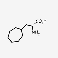 N[C@H](CC1CCCCCC1)C(=O)O